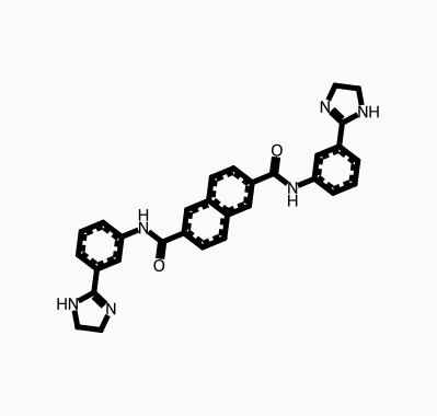 O=C(Nc1cccc(C2=NCCN2)c1)c1ccc2cc(C(=O)Nc3cccc(C4=NCCN4)c3)ccc2c1